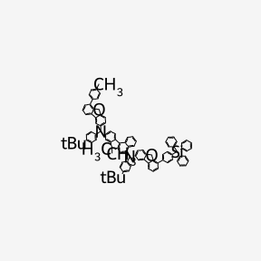 Cc1ccc(-c2cccc3c2oc2ccc(N(c4ccc(C(C)(C)C)cc4)c4ccc5c(c4)C(C)(C)c4cc(N(c6ccc(C(C)(C)C)cc6)c6ccc7oc8c(-c9ccc([Si](c%10ccccc%10)(c%10ccccc%10)c%10ccccc%10)cc9)cccc8c7c6)c6ccccc6c4-5)cc23)cc1